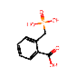 O=C(O)c1ccccc1CP(=O)(O)O